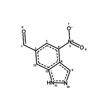 O=Cc1cc([N+](=O)[O-])c2cn[nH]c2c1